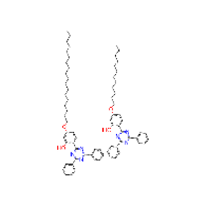 CCCCCCCCCCCCCCCCCCOc1ccc(-c2nc(-c3ccccc3)nc(-c3ccccc3)n2)c(O)c1.CCCCCCCCCCCCOc1ccc(-c2nc(-c3ccccc3)nc(-c3ccccc3)n2)c(O)c1